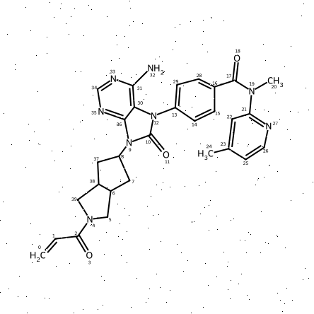 C=CC(=O)N1CC2CC(n3c(=O)n(-c4ccc(C(=O)N(C)c5cc(C)ccn5)cc4)c4c(N)ncnc43)CC2C1